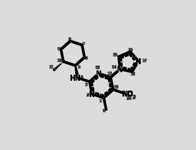 Cc1nc(N[C@@H]2CCCC[C@H]2C)nc(-n2ccnc2)c1[N+](=O)[O-]